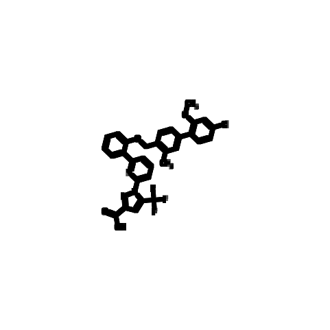 COc1cc(Cl)ccc1-c1ccc(COc2ccccc2-c2cccc(-n3nc(C(=O)O)cc3C(F)(F)F)n2)c(C)c1